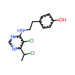 CC(Cl)c1ncnc(NCCc2ccc(O)cc2)c1Cl